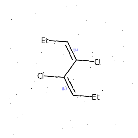 CC/C=C(Cl)\C(Cl)=C/CC